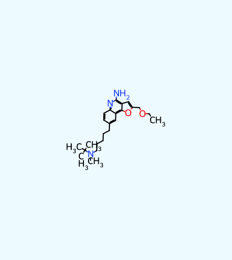 CCOCc1cc2c(N)nc3ccc(CCCCCN(C)C(C)(C)C)cc3c2o1